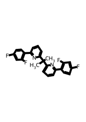 CC(C)(c1cccc(-c2ccc(F)cc2F)n1)c1cccc(-c2ccc(F)cc2F)n1